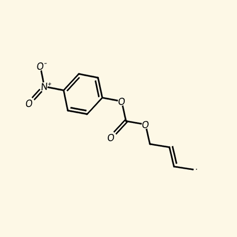 [CH2]/C=C/COC(=O)Oc1ccc([N+](=O)[O-])cc1